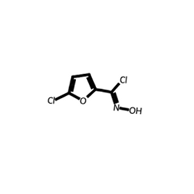 ON=C(Cl)c1ccc(Cl)o1